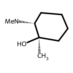 CN[C@@H]1CCCC[C@@]1(C)O